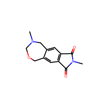 CN1COCc2cc3c(cc2C1)C(=O)N(C)C3=O